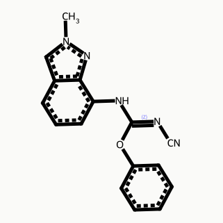 Cn1cc2cccc(N/C(=N/C#N)Oc3ccccc3)c2n1